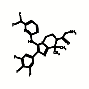 CC1(C)c2nc(-c3cc(F)c(F)c(F)c3)c(Nc3cccc(C(F)F)n3)n2CCN1C(=O)CN